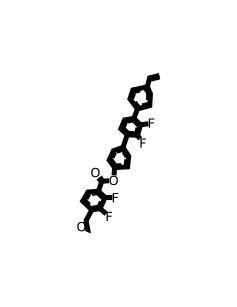 C=Cc1ccc(-c2ccc(-c3ccc(OC(=O)c4ccc(C5CO5)c(F)c4F)cc3)c(F)c2F)cc1